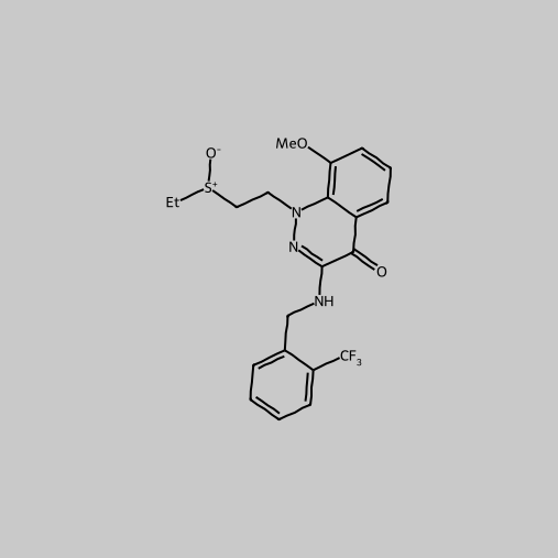 CC[S+]([O-])CCn1nc(NCc2ccccc2C(F)(F)F)c(=O)c2cccc(OC)c21